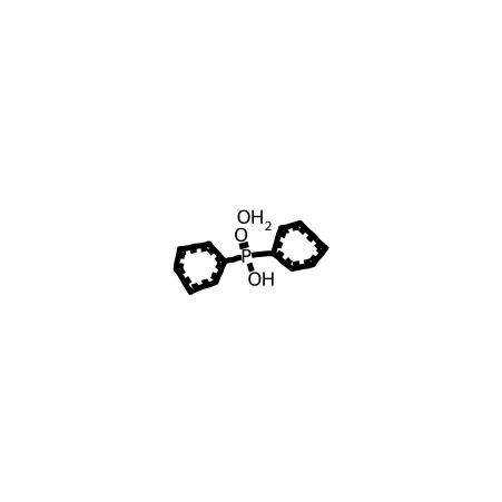 O.O=P(O)(c1ccccc1)c1ccccc1